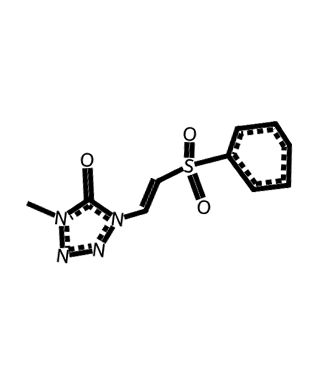 Cn1nnn(C=CS(=O)(=O)c2ccccc2)c1=O